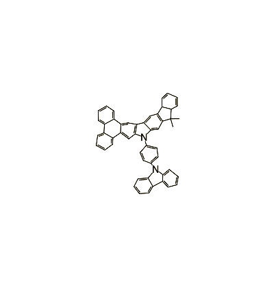 CC1(C)c2cc3c(cc2C2C=CC=CC21)c1cc2c4ccccc4c4ccccc4c2cc1n3-c1ccc(-n2c3ccccc3c3ccccc32)cc1